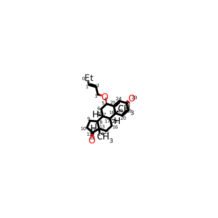 CCC=CCO[C@@H]1C[C@H]2[C@@H]3CCC(=O)C3(C)CC[C@@H]2[C@@]2(C)C=CC(=O)C=C12